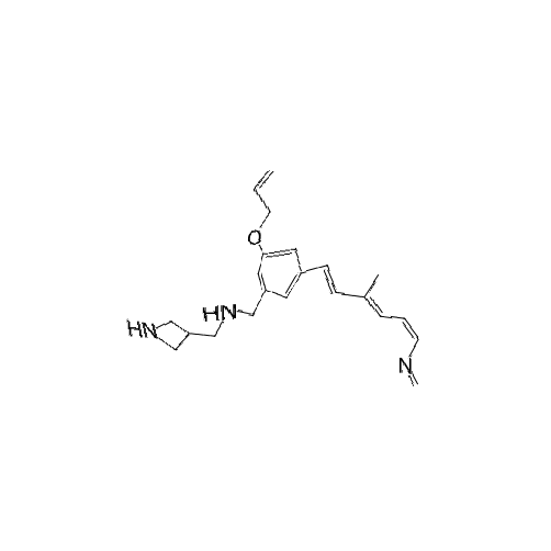 C=CCOc1cc(/C=C/C(C)=C/C=C\N=C)cc(CNCC2CNC2)c1